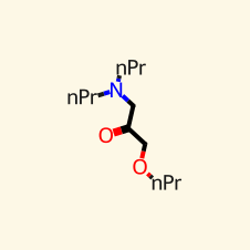 CCCOCC(=O)CN(CCC)CCC